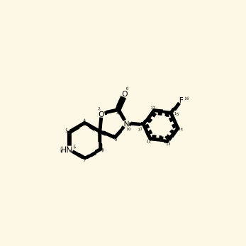 O=C1OC2(CCNCC2)CN1c1cccc(F)c1